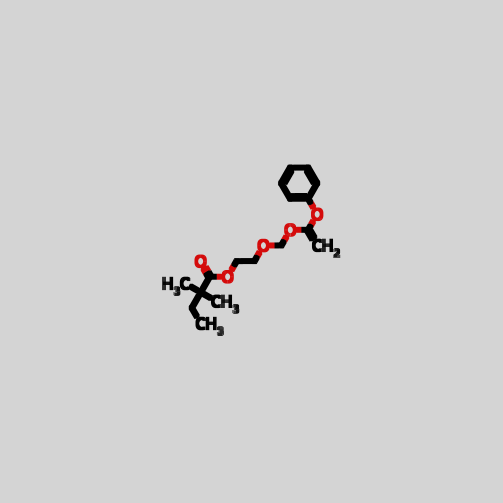 C=C(OCOCCOC(=O)C(C)(C)CC)Oc1ccccc1